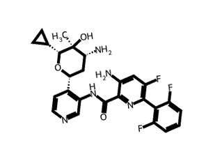 C[C@]1(O)[C@H](N)C[C@H](c2ccncc2NC(=O)c2nc(-c3c(F)cccc3F)c(F)cc2N)O[C@@H]1C1CC1